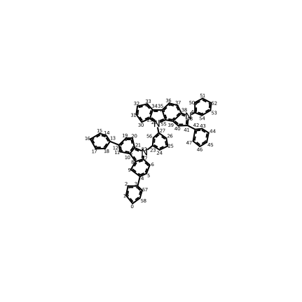 c1ccc(-c2ccc3c(c2)c2cc(-c4ccccc4)ccc2n3-c2cccc(-n3c4ccccc4c4ccc5c(cc(-c6ccccc6)n5-c5ccccc5)c43)c2)cc1